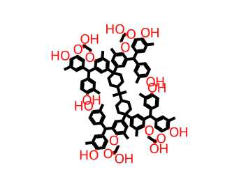 Cc1cc(C(c2ccc(O)c(C)c2)c2cc(C3(c4cc(C)c(OCC(=O)O)c(C(c5ccc(O)c(C)c5)c5ccc(O)c(C)c5)c4)CCC(C(C)(C)C4CCC(c5cc(C)c(OCC(=O)O)c(C(c6ccc(O)c(C)c6)c6ccc(O)c(C)c6)c5)(c5cc(C)c(OCC(=O)O)c(C(c6ccc(O)c(C)c6)c6ccc(O)c(C)c6)c5)CC4)CC3)cc(C)c2OCC(=O)O)ccc1O